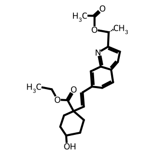 CCOC(=O)C1(/C=C/c2ccc3ccc([C@@H](C)OC(C)=O)nc3c2)CCC(O)CC1